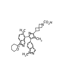 Cc1ccc2c(cnn2[C@@H]2CCCCO2)c1-c1nc(C2CC3(C2)CN(C(=O)O)C3)n(C)c1-c1ccc2c(cnn2C)c1